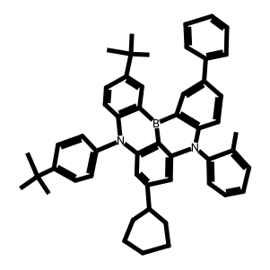 Cc1ccccc1N1c2ccc(-c3ccccc3)cc2B2c3cc(C(C)(C)C)ccc3N(c3ccc(C(C)(C)C)cc3)c3cc(C4CCCCC4)cc1c32